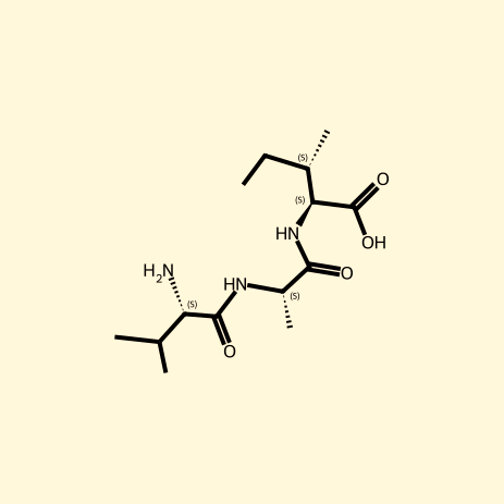 CC[C@H](C)[C@H](NC(=O)[C@H](C)NC(=O)[C@@H](N)C(C)C)C(=O)O